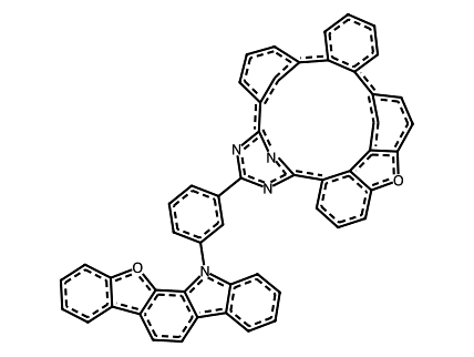 c1cc(-c2nc3nc(n2)c2cccc4oc5ccc(cc5c42)c2ccccc2c2cccc3c2)cc(-n2c3ccccc3c3ccc4c5ccccc5oc4c32)c1